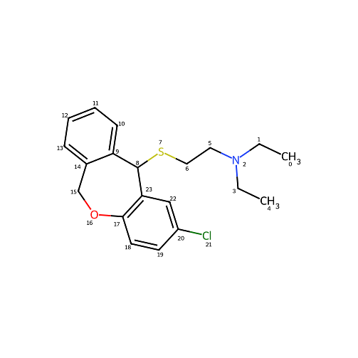 CCN(CC)CCSC1c2ccccc2COc2ccc(Cl)cc21